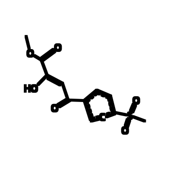 COC(=O)C(O)=CC(=O)c1ccc(S(C)(=O)=O)cc1